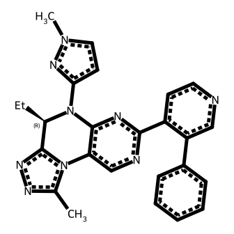 CC[C@@H]1c2nnc(C)n2-c2cnc(-c3ccncc3-c3ccccc3)nc2N1c1ccn(C)n1